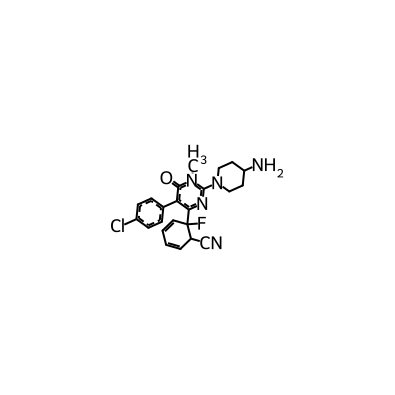 Cn1c(N2CCC(N)CC2)nc(C2(F)C=CC=CC2C#N)c(-c2ccc(Cl)cc2)c1=O